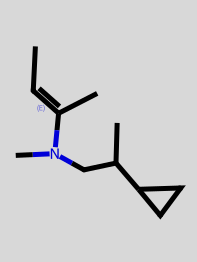 C/C=C(\C)N(C)CC(C)C1CC1